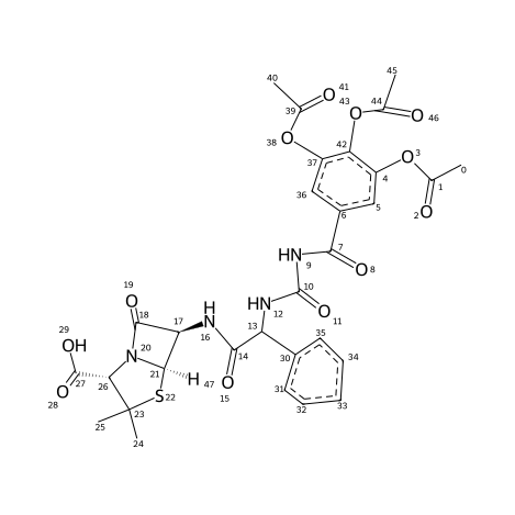 CC(=O)Oc1cc(C(=O)NC(=O)NC(C(=O)N[C@@H]2C(=O)N3[C@@H]2SC(C)(C)[C@@H]3C(=O)O)c2ccccc2)cc(OC(C)=O)c1OC(C)=O